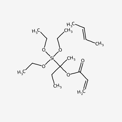 C=CC(=O)OC(C)(CC)[Si](OCC)(OCC)OCC.CC=CC